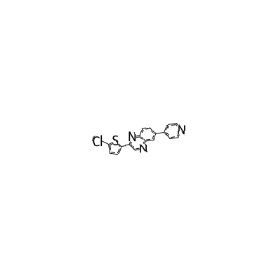 Clc1ccc(-c2cnc3cc(-c4ccncc4)ccc3n2)s1